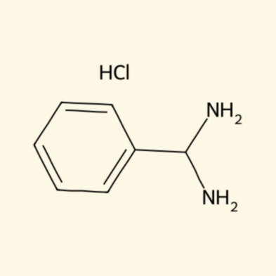 Cl.NC(N)c1ccccc1